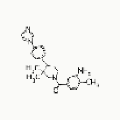 Cc1ccc(C(=O)N2CCC(c3ccc(-n4ccnc4)cc3)C(C)(C)C2)cc1N